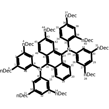 CCCCCCCCCCc1cc(CCCCCCCCCC)cc(N(c2cc(CCCCCCCCCC)cc(CCCCCCCCCC)c2)c2c3ccccc3c(N(c3cc(CCCCCCCCCC)cc(CCCCCCCCCC)c3)c3ccc(CCCCCCCCCC)cc3CCCCCCCCCC)c3cc(CCCCCCCCCC)ccc23)c1